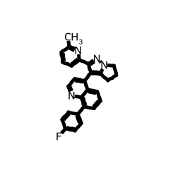 Cc1cccc(-c2nn3c(c2-c2ccnc4c(-c5ccc(F)cc5)cccc24)CCC3)n1